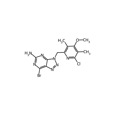 COc1c(C)c(Cl)nc(Cn2nnc3c(Br)nc(N)nc32)c1C